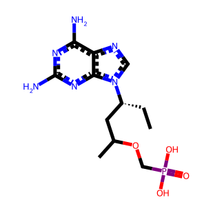 CC[C@H](CC(C)OCP(=O)(O)O)n1cnc2c(N)nc(N)nc21